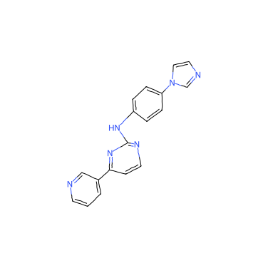 c1cncc(-c2ccnc(Nc3ccc(-n4ccnc4)cc3)n2)c1